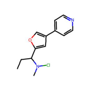 CCC(c1cc(-c2ccncc2)co1)N(C)Cl